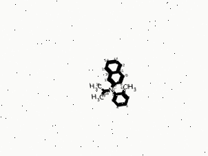 Cc1ccccc1N(c1ccc2ccccc2c1)C(C)C